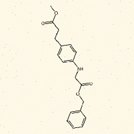 COC(=O)CCc1ccc(NCC(=O)OCc2ccccc2)cc1